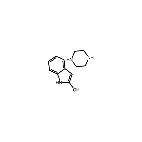 C1CNCCN1.Oc1cc2ccccc2[nH]1